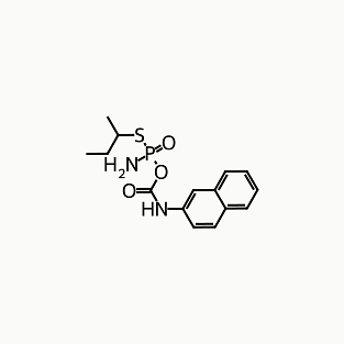 CCC(C)SP(N)(=O)OC(=O)Nc1ccc2ccccc2c1